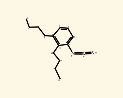 CCCCc1cccc(N=C=S)c1CCCC